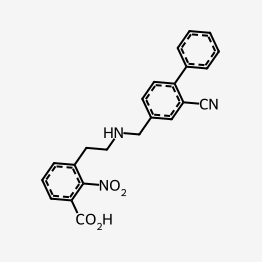 N#Cc1cc(CNCCc2cccc(C(=O)O)c2[N+](=O)[O-])ccc1-c1ccccc1